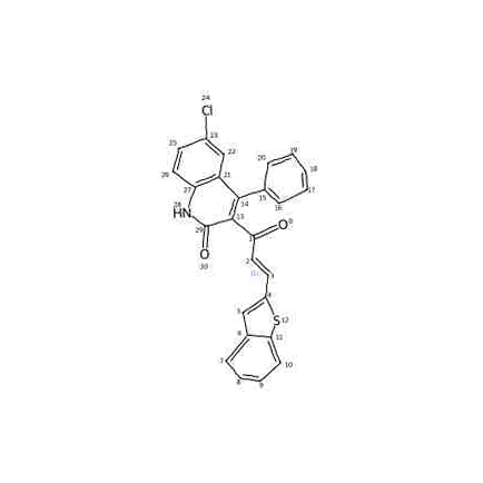 O=C(/C=C/c1cc2ccccc2s1)c1c(-c2ccccc2)c2cc(Cl)ccc2[nH]c1=O